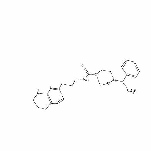 O=C(O)C(c1ccccc1)N1CCN(C(=O)NCCCc2ccc3c(n2)NCCC3)CC1